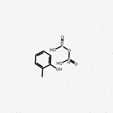 Cc1ccccc1O.O=[PH](O)O[PH](=O)O